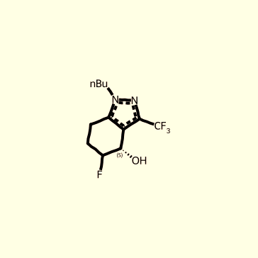 CCCCn1nc(C(F)(F)F)c2c1CCC(F)[C@H]2O